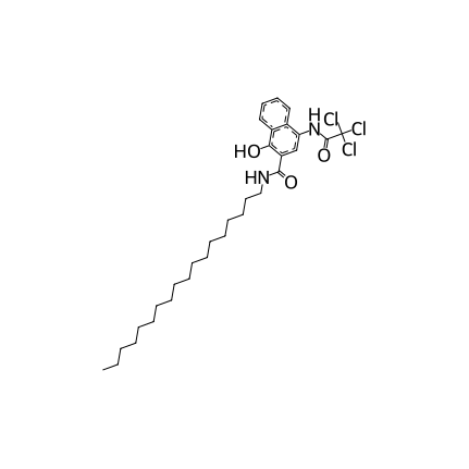 CCCCCCCCCCCCCCCCCCNC(=O)c1cc(NC(=O)C(Cl)(Cl)Cl)c2ccccc2c1O